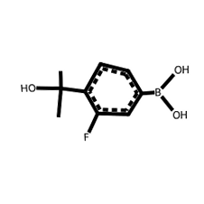 CC(C)(O)c1ccc(B(O)O)cc1F